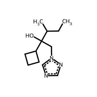 CCC(C)C(O)(Cn1cncn1)C1CCC1